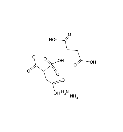 N.N.O=C(O)CC(C(=O)O)S(=O)(=O)O.O=C(O)CCC(=O)O